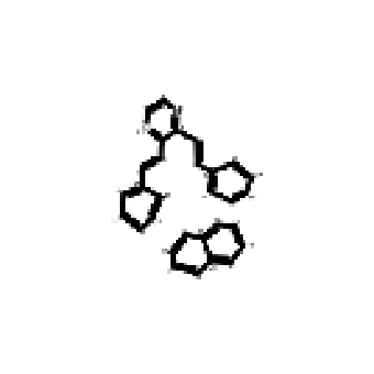 C(=Cc1nccnc1C=Cc1ccccc1)c1ccccc1.c1ccc2ccccc2c1